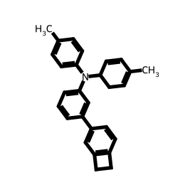 CC1=CCC(N(c2ccc(C)cc2)c2cccc(-c3ccc4c(c3)CC4)c2)C=C1